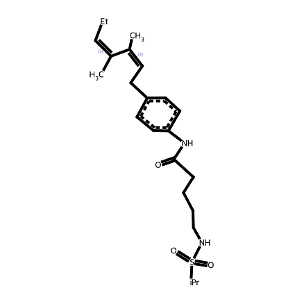 CC/C=C(C)\C(C)=C/Cc1ccc(NC(=O)CCCCNS(=O)(=O)C(C)C)cc1